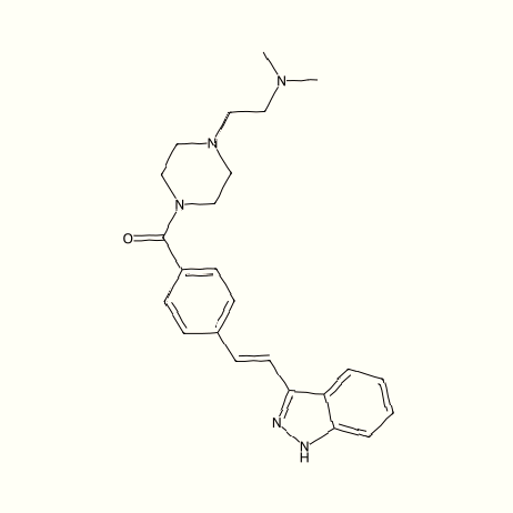 CN(C)CCN1CCN(C(=O)c2ccc(C=Cc3n[nH]c4ccccc34)cc2)CC1